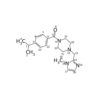 CC(C)c1ccc(C(=O)N2CCN(Cc3nccn3C)CC2)cc1